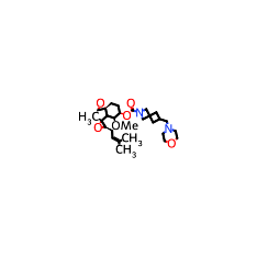 CO[C@H]1C([C@@]2(C)O[C@@H]2CC=C(C)C)[C@]2(CC[C@H]1OC(=O)N1CC3(CC(CN4CCOCC4)C3)C1)CO2